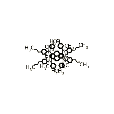 CCCCc1cc(C)c(N(c2ccc(C)cc2)c2cc(N(c3ccc(C)cc3)c3c(C)cc(CCCC)cc3C)c3ccc4c(N(c5ccc(C)cc5)c5c(C)cc(CCCC)cc5C)cc(N(c5ccc(C)cc5)c5c(C)cc(CCCC)cc5C)c5ccc2c3c54)c(C)c1